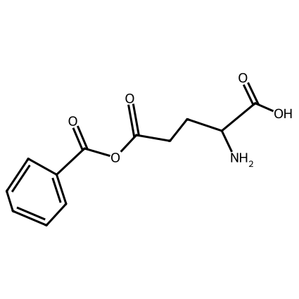 NC(CCC(=O)OC(=O)c1ccccc1)C(=O)O